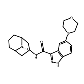 CN1C2CCCC1CC(NC(=O)c1n[nH]c3ccc(N4CCOCC4)cc13)C2